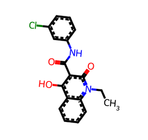 CCn1c(=O)c(C(=O)Nc2cccc(Cl)c2)c(O)c2ccccc21